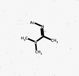 CC(=O)/N=C(/C)N(C)C